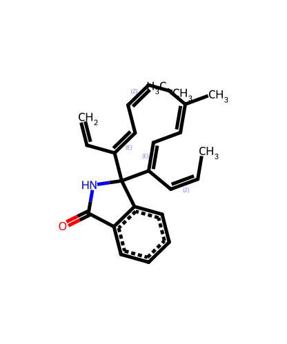 C=C/C(=C\C=C/C)C1(C(/C=C\C)=C/C=C(C)C)NC(=O)c2ccccc21